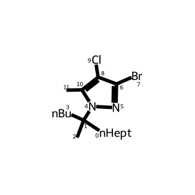 CCCCCCCC(C)(CCCC)n1nc(Br)c(Cl)c1C